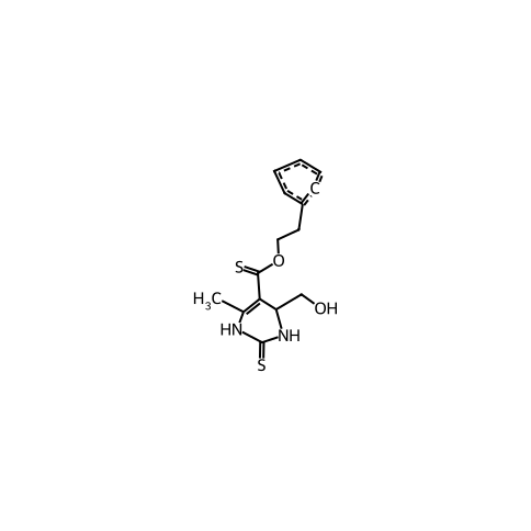 CC1=C(C(=S)OCCc2ccccc2)C(CO)NC(=S)N1